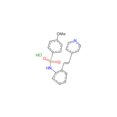 COc1ccc(S(=O)(=O)Nc2ccccc2C=Cc2ccncc2)cc1.Cl